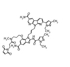 CCn1nc(C)cc1C(=O)Nc1nc2cc(C(N)=O)cc(OCCCN(C)C(=O)CCN3C(=O)C=CC3=O)c2n1C/C=C/Cn1c2ncc(C(N)=O)cc2c2ccc(-c3cc(C)nn3CC)nc21